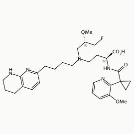 COc1cccnc1C1(C(=O)N[C@@H](CCN(CCCCc2ccc3c(n2)NCCC3)C[C@@H](CF)OC)C(=O)O)CC1